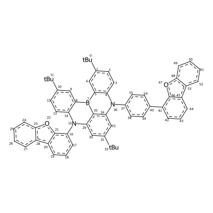 CC(C)(C)c1ccc2c(c1)B1c3cc(C(C)(C)C)ccc3N(c3cccc4c3oc3ccccc34)c3cc(C(C)(C)C)cc(c31)N2c1ccc(-c2cccc3c2oc2ccccc23)cc1